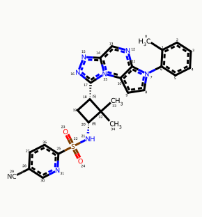 Cc1ccccc1-n1ccc2c1ncc1nnc([C@H]3C[C@@H](NS(=O)(=O)c4ccc(C#N)cn4)C3(C)C)n12